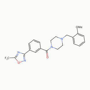 COc1ccccc1CN1CCN(C(=O)c2cccc(-c3noc(C(F)(F)F)n3)c2)CC1